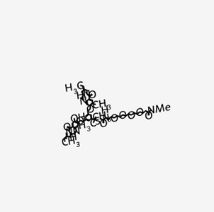 C/C=C1\C[C@H]2C=Nc3cc(OCc4cc(COc5cc6c(cc5O)C(=O)N5C/C(=C/C)C[C@H]5C=N6)cc(C(C)(C)SCC(=O)NCCOCCOCCOCCOCCC(=O)NC)c4)c(C)cc3C(=O)N2C1